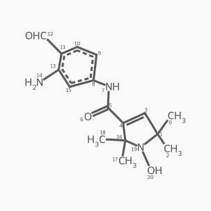 CC1(C)C=C(C(=O)Nc2ccc(C=O)c(N)c2)C(C)(C)N1O